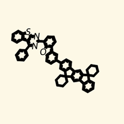 c1ccc(-c2nc(-c3cccc4c3oc3ccc(-c5ccc6c(c5)C5(CCCCC5)c5cc7c(cc5-6)C5(CCCCC5)c5ccccc5-7)cc34)nc3sc4ccccc4c23)cc1